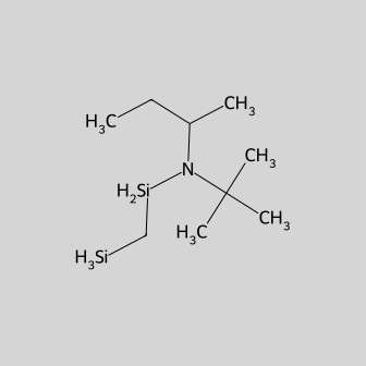 CCC(C)N([SiH2]C[SiH3])C(C)(C)C